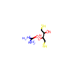 NC(N)=O.OC(CS)C(O)CS